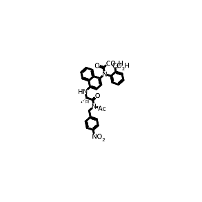 CC(=O)N(Cc1ccc([N+](=O)[O-])cc1)C(=O)[C@H](C)Nc1ccc(N(C(=O)C(=O)O)c2ccccc2C(=O)O)c2ccccc12